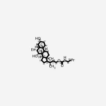 CC[C@H]1[C@@H](O)[C@@H]2[C@H](CC[C@]3(C)C([C@H](C)CCOC(=O)NCC(C)C)CC[C@@H]23)[C@@]2(C)CC[C@@H](O)C[C@@H]12